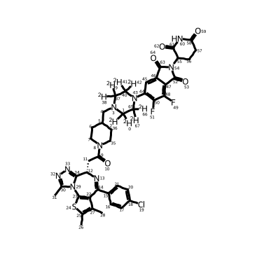 [2H]C1([2H])N(CC2CCN(C(=O)C[C@@H]3N=C(c4ccc(Cl)cc4)c4c(sc(C)c4C)-n4c(C)nnc43)CC2)C([2H])([2H])C([2H])([2H])N(c2cc3c(c(F)c2F)C(=O)N(C2CCC(=O)NC2=O)C3=O)C1([2H])[2H]